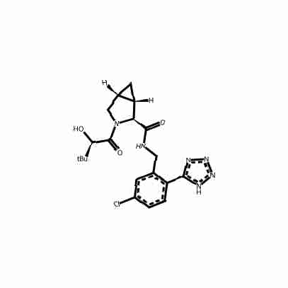 CC(C)(C)[C@@H](O)C(=O)N1C[C@@H]2C[C@@H]2[C@H]1C(=O)NCc1cc(Cl)ccc1-c1nnn[nH]1